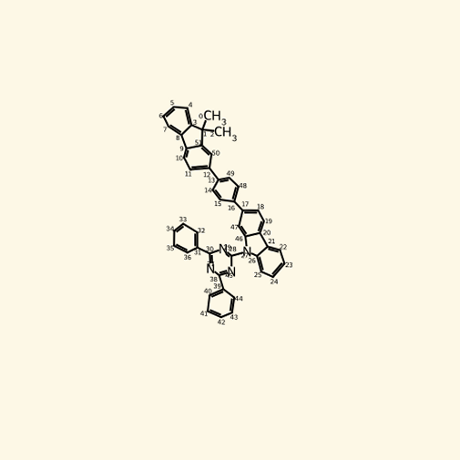 CC1(C)c2ccccc2-c2ccc(-c3ccc(-c4ccc5c6ccccc6n(-c6nc(-c7ccccc7)nc(-c7ccccc7)n6)c5c4)cc3)cc21